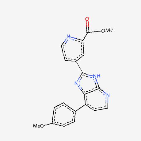 COC(=O)c1cc(-c2nc3c(-c4ccc(OC)cc4)ccnc3[nH]2)ccn1